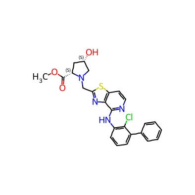 COC(=O)[C@@H]1C[C@H](O)CN1Cc1nc2c(Nc3cccc(-c4ccccc4)c3Cl)nccc2s1